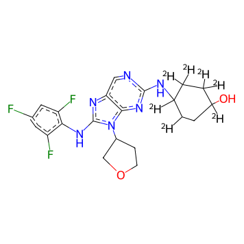 [2H]C1CC([2H])(O)C([2H])([2H])C([2H])([2H])C1([2H])Nc1ncc2nc(Nc3c(F)cc(F)cc3F)n(C3CCOC3)c2n1